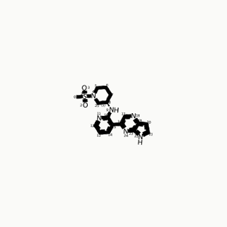 CS(=O)(=O)N1CCC[C@H](Nc2ncccc2-c2cnc3cc[nH]c3n2)C1